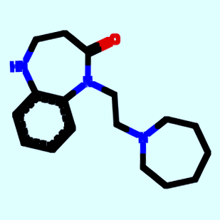 O=C1CCNc2ccccc2N1CCN1CCCCCC1